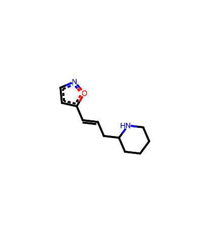 C(=C\c1ccno1)/CC1CCCCN1